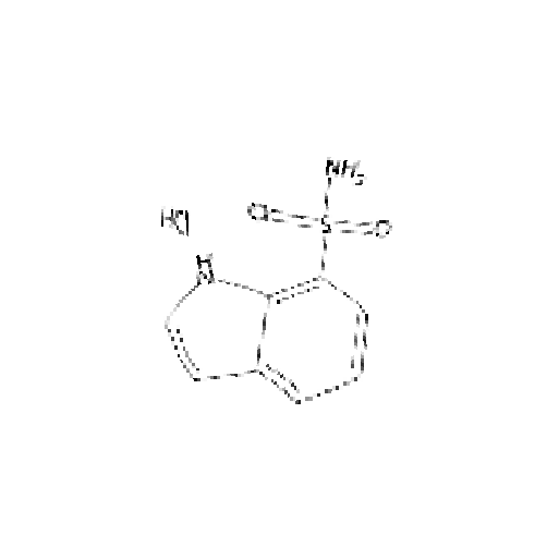 Cl.NS(=O)(=O)c1cccc2cc[nH]c12